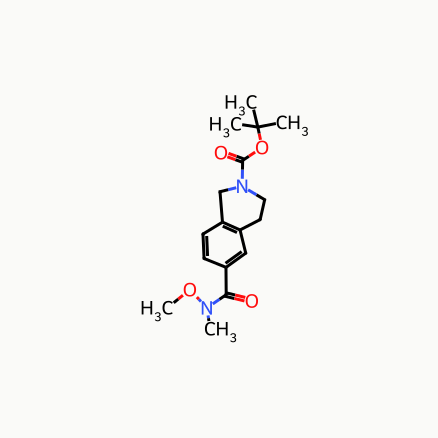 CON(C)C(=O)c1ccc2c(c1)CCN(C(=O)OC(C)(C)C)C2